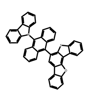 c1ccc2c(c1)oc1c2cc(-c2c3ccccc3c(-n3c4ccccc4c4ccccc43)c3ccccc23)c2sc3ccccc3c21